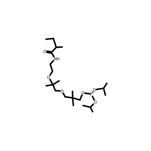 CCC(C)C(=O)NCCOC(C)(C)COCC(C)(C)COP(OC(C)C)OC(C)C